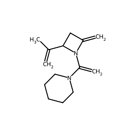 C=C(C)C1CC(=C)N1C(=C)N1CCCCC1